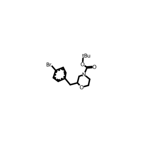 CC(C)(C)OC(=O)N1CCOC(Cc2ccc(Br)cc2)C1